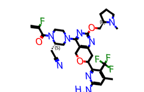 C=C(F)C(=O)N1CCN(c2nc(OC[C@H]3CCCN3C)nc3c2COC(c2nc(N)cc(C)c2C(F)(F)F)C3)C[C@@H]1CC#N